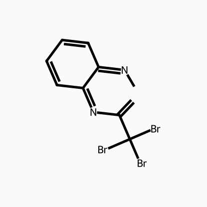 C=C(/N=C1/C=CC=C/C1=N/C)C(Br)(Br)Br